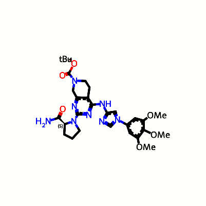 COc1cc(-n2cnc(Nc3nc(N4CCC[C@H]4C(N)=O)nc4c3CCN(C(=O)OC(C)(C)C)C4)c2)cc(OC)c1OC